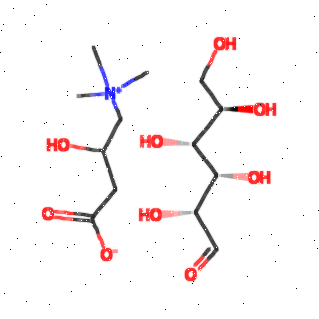 C[N+](C)(C)CC(O)CC(=O)[O-].O=C[C@H](O)[C@@H](O)[C@H](O)[C@H](O)CO